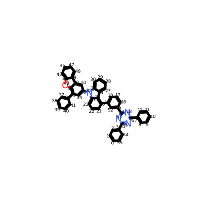 c1ccc(-c2nc(-c3ccccc3)nc(-c3cccc(-c4cccc5c4c4ccccc4n5-c4cc(-c5ccccc5)c5oc6ccccc6c5c4)c3)n2)cc1